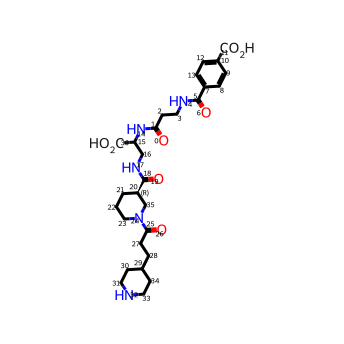 O=C(CCNC(=O)c1ccc(C(=O)O)cc1)NC(CNC(=O)[C@@H]1CCCN(C(=O)CCC2CCNCC2)C1)C(=O)O